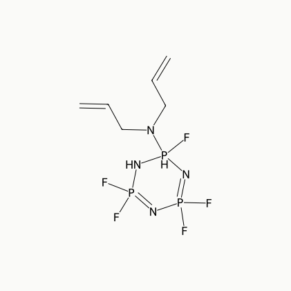 C=CCN(CC=C)[PH]1(F)N=P(F)(F)N=P(F)(F)N1